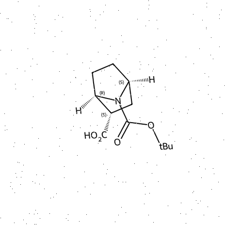 CC(C)(C)OC(=O)N1[C@H]2CC[C@@H]1[C@@H](C(=O)O)C2